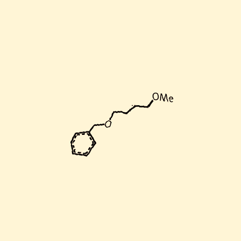 COC[CH]CCOCc1ccccc1